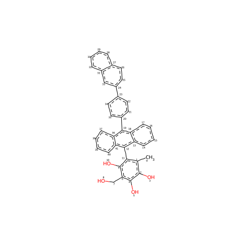 Cc1c(O)c(O)c(CO)c(O)c1-c1c2ccccc2c(-c2ccc(-c3ccc4ccccc4c3)cc2)c2ccccc12